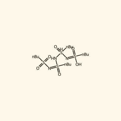 CCCCS(=O)(=O)N=S(=O)(CCCC)N[SH](=O)(CCCC)N=S(=O)(O)CCCC